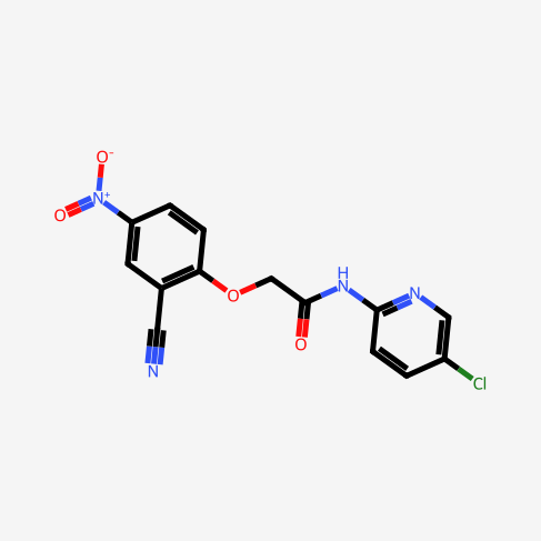 N#Cc1cc([N+](=O)[O-])ccc1OCC(=O)Nc1ccc(Cl)cn1